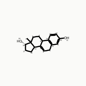 CC12CCC3C(=CCc4cc(O)ccc43)C1CC[C@@H]2O